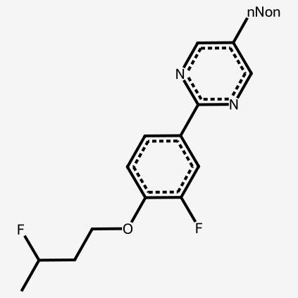 CCCCCCCCCc1cnc(-c2ccc(OCCC(C)F)c(F)c2)nc1